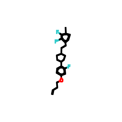 C=CCCOc1ccc(C2CCC(CCc3ccc(C)c(F)c3F)CC2)c(F)c1